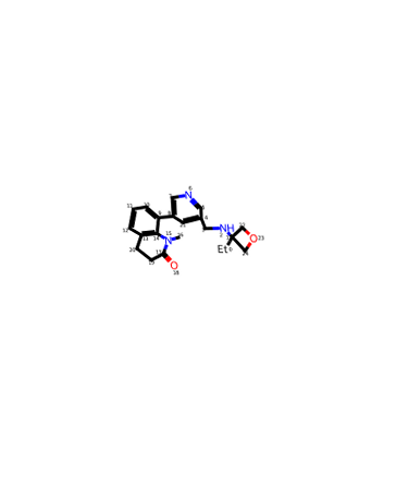 CCC1(NCc2cncc(-c3cccc4c3N(C)C(=O)CC4)c2)COC1